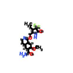 CCC1C(COc2nccc3cc(C(N)=O)c(OC)cc23)NC(=O)C1(F)F